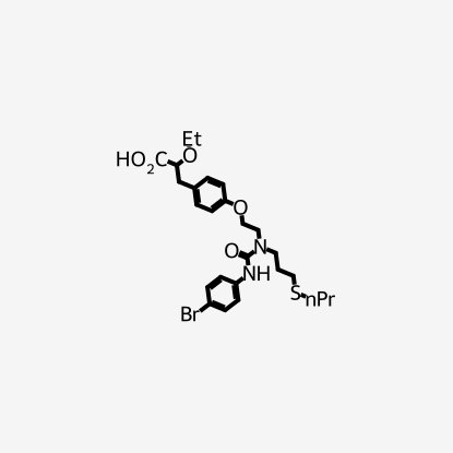 CCCSCCCN(CCOc1ccc(CC(OCC)C(=O)O)cc1)C(=O)Nc1ccc(Br)cc1